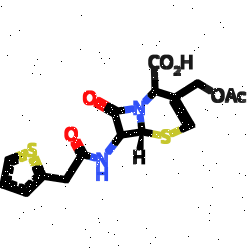 CC(=O)OCC1=CS[C@@H]2C(NC(=O)Cc3cccs3)C(=O)N2C1C(=O)O